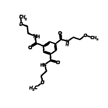 COCCNC(=O)c1cc(C(=O)NCCOC)cc(C(=O)NCCOC)c1